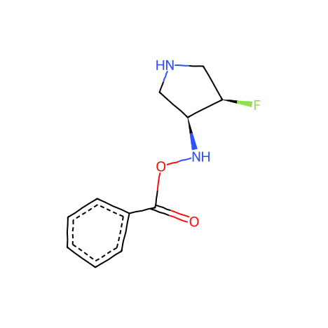 O=C(ON[C@H]1CNC[C@H]1F)c1ccccc1